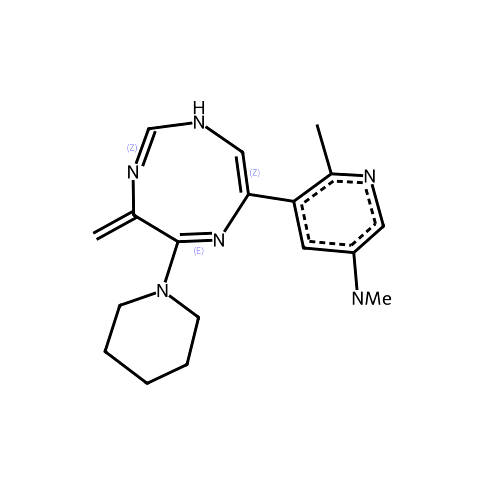 C=C1/N=C\N/C=C(c2cc(NC)cnc2C)\N=C/1N1CCCCC1